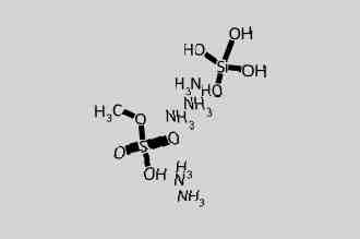 COS(=O)(=O)O.N.N.N.N.N.O[Si](O)(O)O